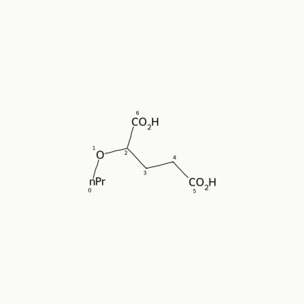 CCCOC(CCC(=O)O)C(=O)O